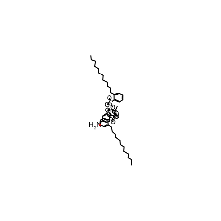 CCCCCCCCCCCCc1ccccc1S(=O)(=O)[O][Zr](=[O])([O]S(=O)(=O)c1ccccc1CCCCCCCCCCCC)([CH](C)C)[S](=O)(=O)c1ccc(N)cc1